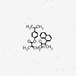 C=C(C(=O)O)c1cccc2ccccc12.C=C(C)C(=O)Oc1ccc(C(C)C)cc1